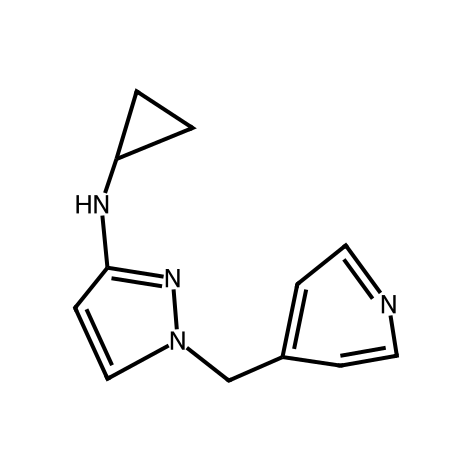 c1cc(Cn2ccc(NC3CC3)n2)ccn1